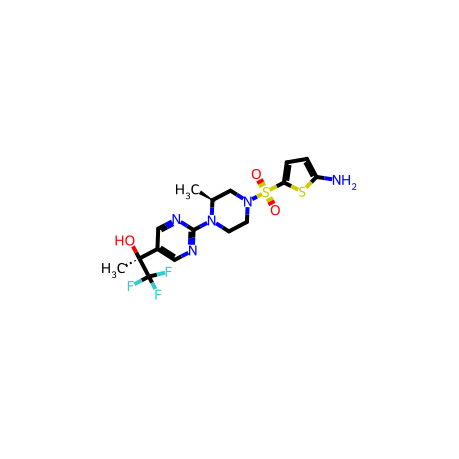 C[C@H]1CN(S(=O)(=O)c2ccc(N)s2)CCN1c1ncc([C@](C)(O)C(F)(F)F)cn1